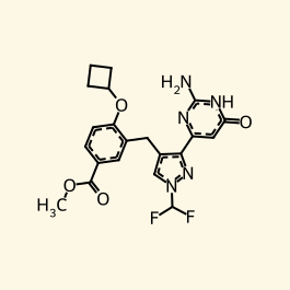 COC(=O)c1ccc(OC2CCC2)c(Cc2cn(C(F)F)nc2-c2cc(=O)[nH]c(N)n2)c1